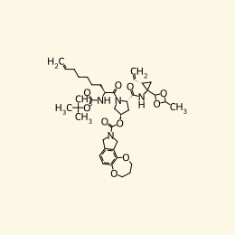 C=CCCCCC[C@H](NC(=O)OC(C)(C)C)C(=O)N1C[C@H](OC(=O)N2Cc3ccc4c(c3C2)OCCCO4)C[C@H]1C(=O)N[C@]1(C2OC(C)O2)C[C@H]1C=C